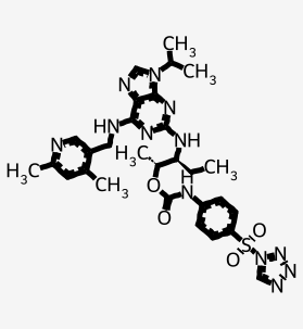 CC[C@H](Nc1nc(NCc2cnc(C)cc2C)c2ncn(C(C)C)c2n1)[C@@H](C)OC(=O)Nc1ccc(S(=O)(=O)n2cnnn2)cc1